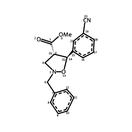 COC(=O)[C@H]1CN(Cc2ccccc2)O[C@@H]1c1cccc(C#N)c1